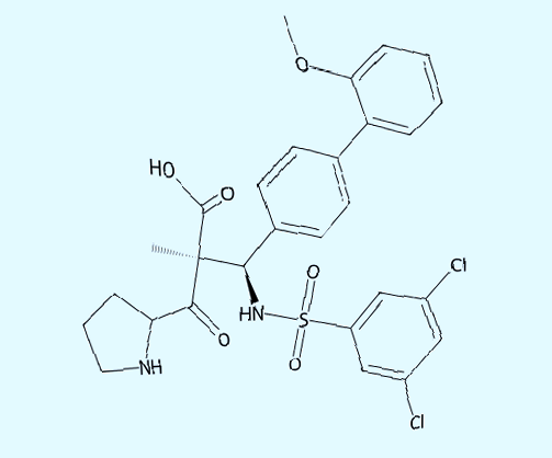 COc1ccccc1-c1ccc([C@@H](NS(=O)(=O)c2cc(Cl)cc(Cl)c2)[C@](C)(C(=O)O)C(=O)C2CCCN2)cc1